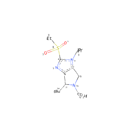 CCS(=O)(=O)c1nc2c(n1C(C)C)CN(C(=O)O)C2C(C)(C)C